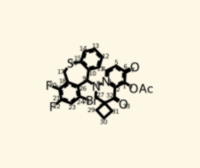 CC(=O)Oc1c2n(ccc1=O)N(C1c3ccccc3SCc3c(F)c(F)cc(Br)c31)CC1(CCC1)C2=O